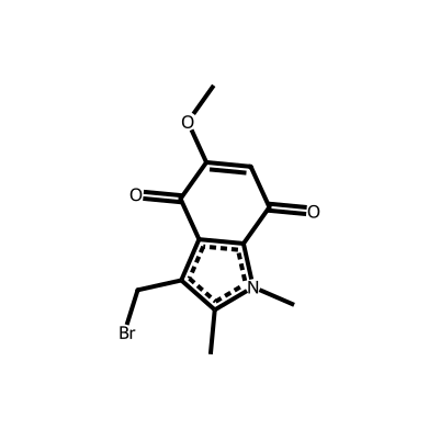 COC1=CC(=O)c2c(c(CBr)c(C)n2C)C1=O